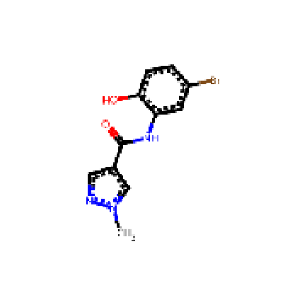 Cn1cc(C(=O)Nc2cc(Br)ccc2O)cn1